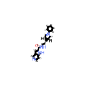 O=C(NCC[C@@H]1[C@H]2CN(c3ccccc3)C[C@@H]12)c1cc2cnccc2[nH]1